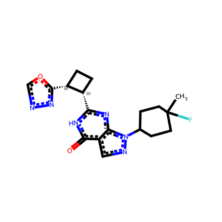 CC1(F)CCC(n2ncc3c(=O)[nH]c([C@H]4CC[C@H]4c4nnco4)nc32)CC1